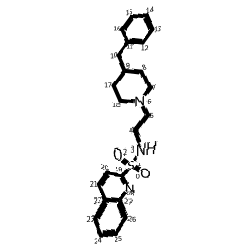 O=S(=O)(NCCN1CCC(Cc2ccccc2)CC1)c1ccc2ccccc2n1